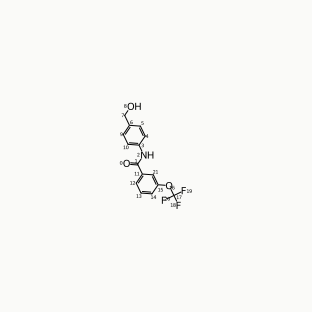 O=C(Nc1ccc(CO)cc1)c1cccc(OC(F)(F)F)c1